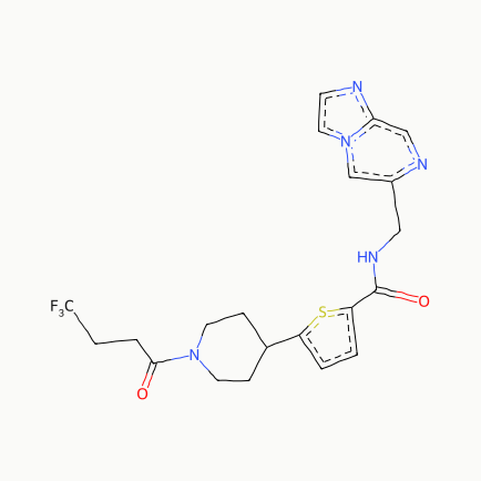 O=C(NCc1cn2ccnc2cn1)c1ccc(C2CCN(C(=O)CCC(F)(F)F)CC2)s1